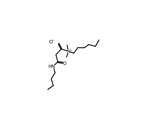 C=C(CC(=O)NCCCC)[N+](C)(C)CCCCCC.[Cl-]